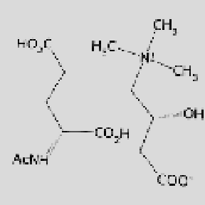 CC(=O)N[C@H](CCC(=O)O)C(=O)O.C[N+](C)(C)C[C@H](O)CC(=O)[O-]